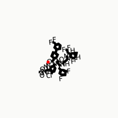 Cn1nc(NS(C)(=O)=O)c2c(Cl)ccc(-n3c([C@H](Cc4cc(F)cc(F)c4)NC(=O)Cn4nc(C(F)F)c5c4C(F)(F)[C@@H]4C[C@H]54)nc4cc(-c5cccc(C(F)F)c5)ccc4c3=O)c21